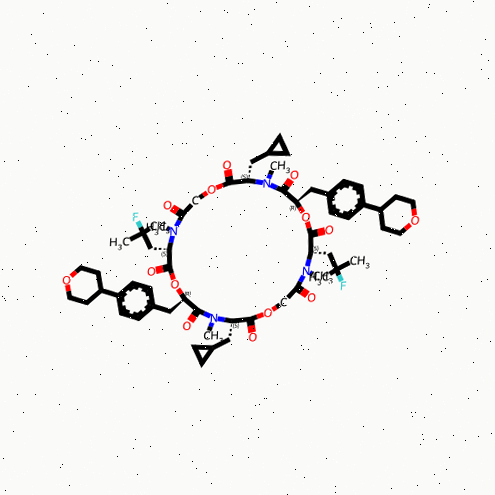 CN1C(=O)COC(=O)[C@H](CC2CC2)N(C)C(=O)[C@@H](Cc2ccc(C3CCOCC3)cc2)OC(=O)[C@H](CC(C)(C)F)N(C)C(=O)COC(=O)[C@H](CC2CC2)N(C)C(=O)[C@@H](Cc2ccc(C3CCOCC3)cc2)OC(=O)[C@@H]1CC(C)(C)F